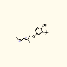 C/C=C\C=C(/C)COc1ccc(O)c(C(C)(C)C)c1